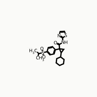 CC(C)S(=O)(=O)c1ccc(C2(C(=O)Nc3nccs3)CC2C2CCCCC2)cc1